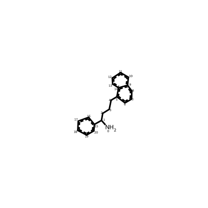 NC(CCCc1cccc2ccccc12)c1ccccc1